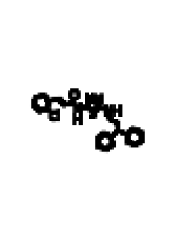 O=C(C=Cc1ccccc1Cl)Nc1nnc(NCCC(c2ccccc2)c2ccccc2)s1